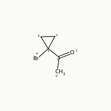 CC(=O)C1(Br)CC1